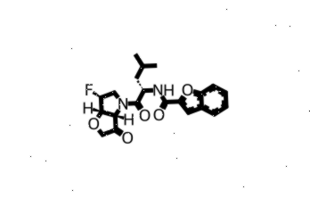 CC(C)C[C@H](NC(=O)c1cc2ccccc2o1)C(=O)N1C[C@H](F)[C@H]2OCC(=O)[C@H]21